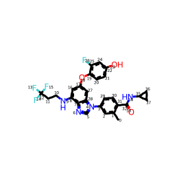 Cc1cc(-n2cnc3c(NCCC(F)(F)F)cc(Oc4ccc(O)cc4F)cc32)ccc1C(=O)NC1CC1